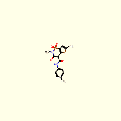 Cc1ccc(NC(=O)C2C(=O)N(C)S(=O)(=O)c3cc(C)sc32)cc1